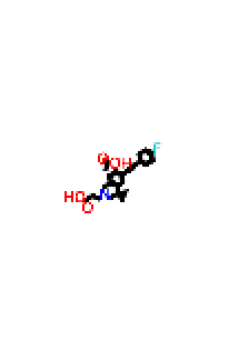 CC(=O)O.O=C(O)CCN1Cc2ccc(C#Cc3ccc(F)cc3)cc2C2(CC2)C1